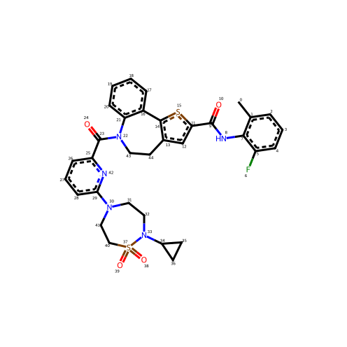 Cc1cccc(F)c1NC(=O)c1cc2c(s1)-c1ccccc1N(C(=O)c1cccc(N3CCN(C4CC4)S(=O)(=O)CC3)n1)CC2